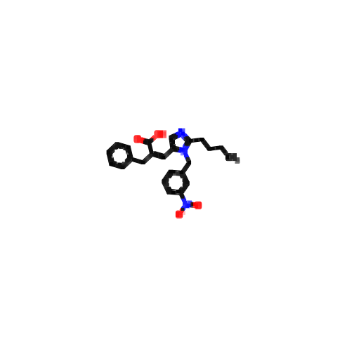 CCCCc1ncc(C=C(Cc2ccccc2)C(=O)O)n1Cc1cccc([N+](=O)[O-])c1